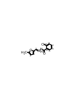 Cc1ccc(/C=N/NC(=O)c2ccccc2Cl)o1